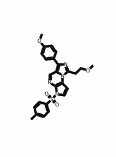 COCCc1nc(-c2ccc(OC)cc2)c2cnc3c(ccn3S(=O)(=O)c3ccc(C)cc3)n12